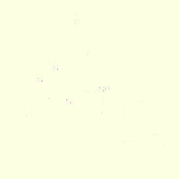 Fc1ccc(CNc2nc(Cl)nn3cc(Br)cc23)s1